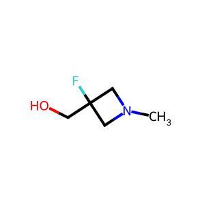 CN1CC(F)(CO)C1